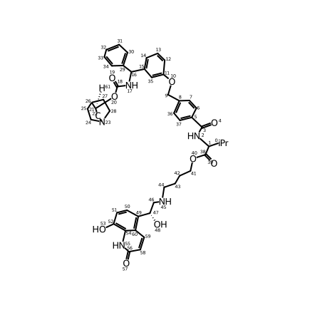 CC(C)C(NC(=O)c1ccc(COc2cccc(C(NC(=O)O[C@H]3CN4CCC3CC4)c3ccccc3)c2)cc1)C(=O)OCCCCNC[C@H](O)c1ccc(O)c2[nH]c(=O)ccc12